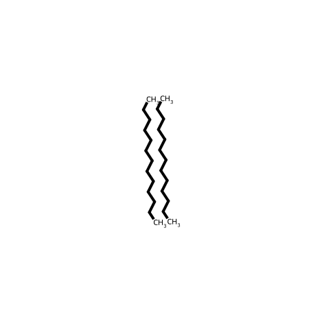 CCCCCCCCCCCCC.CCCCCCCCCCCCC